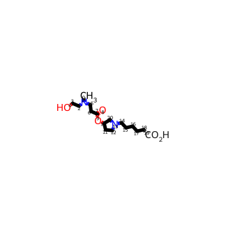 CN(CCO)CCC(=O)OC1CCN(CCCCCC(=O)O)C1